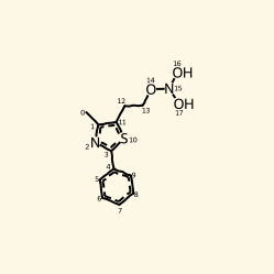 Cc1nc(-c2ccccc2)sc1CCON(O)O